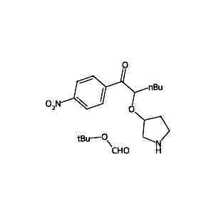 CC(C)(C)OC=O.CCCCC(OC1CCNC1)C(=O)c1ccc([N+](=O)[O-])cc1